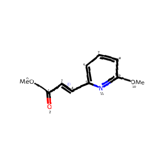 COC(=O)/C=C/c1cccc(OC)n1